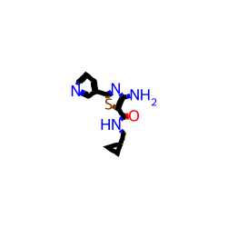 Nc1nc(-c2cccnc2)sc1C(=O)NCC1CC1